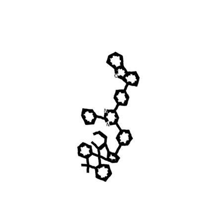 C/C=C\C1=C(C)C2(c3ccccc3C(C)(C)c3ccccc32)c2cccc(-c3cccc(-c4cc(-c5ccc(-c6cccc7c6oc6ccccc67)cc5)nc(-c5ccccc5)n4)c3)c21